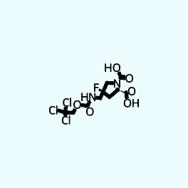 O=C(NC[C@@]1(F)C[C@@H](C(=O)O)N(C(=O)O)C1)OCC(Cl)(Cl)Cl